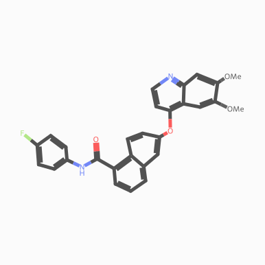 COc1cc2nccc(Oc3ccc4c(C(=O)Nc5ccc(F)cc5)cccc4c3)c2cc1OC